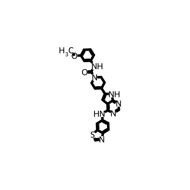 COc1cccc(NC(=O)N2CC=C(c3cc4c(Nc5ccc6ncsc6c5)ncnc4[nH]3)CC2)c1